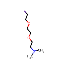 CN(C)CCOCCOCCI